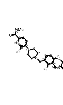 CNC(=O)c1ccc(N2CCN(Cc3ccc4c(c3F)NC(=O)C3(CC3)O4)CC2)c(F)n1